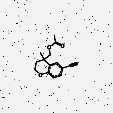 C#Cc1ccc2c(c1)C(C)(COC(C)=O)CCO2